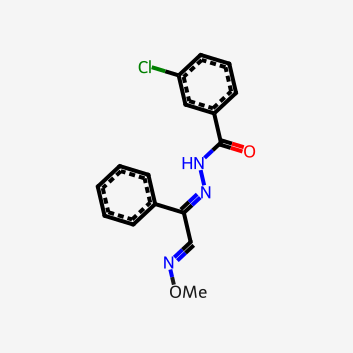 CON=CC(=NNC(=O)c1cccc(Cl)c1)c1ccccc1